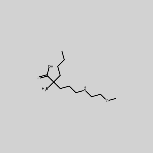 BC(CCCC)(CCCNCCOC)C(=O)O